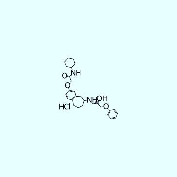 Cl.O=C(COc1ccc2c(c1)CC(NC[C@H](O)COc1ccccc1)CCC2)NC1CCCCC1